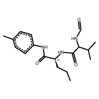 CCC[C@H](NC(=O)C(NC=O)C(C)C)C(=O)Nc1ccc(C)cc1